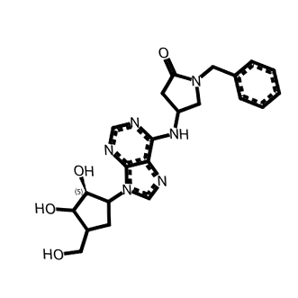 O=C1CC(Nc2ncnc3c2ncn3C2CC(CO)C(O)[C@H]2O)CN1Cc1ccccc1